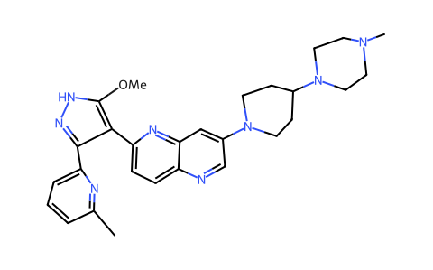 COc1[nH]nc(-c2cccc(C)n2)c1-c1ccc2ncc(N3CCC(N4CCN(C)CC4)CC3)cc2n1